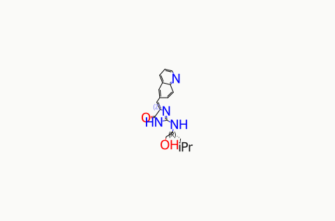 CC(C)C[C@H](CO)NC1=N/C(=C\c2ccc3ncccc3c2)C(=O)N1